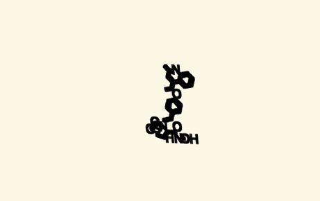 Cc1cc(C(C)Oc2ccc(CCN3C(C(=O)NO)CCS3(=O)=O)cc2)c2ccccc2n1